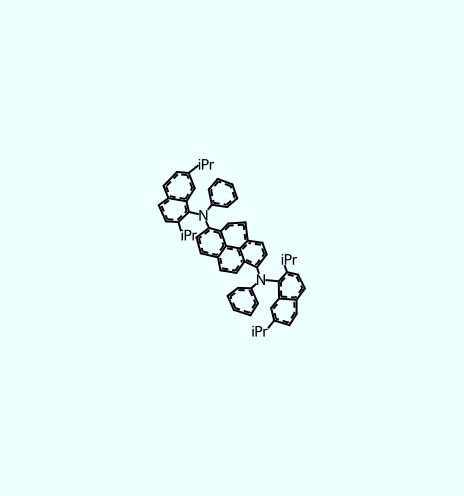 CC(C)c1ccc2ccc(C(C)C)c(N(c3ccccc3)c3ccc4ccc5c(N(c6ccccc6)c6c(C(C)C)ccc7ccc(C(C)C)cc67)ccc6ccc3c4c65)c2c1